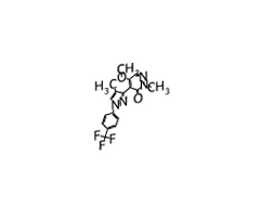 COc1cnn(C)c(=O)c1-c1nn(-c2ccc(C(F)(F)F)cc2)cc1C